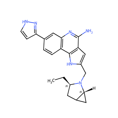 CC[C@@H]1CC2C[C@H]2N1Cc1cc2c(N)nc3cc(-c4cc[nH]n4)ccc3c2[nH]1